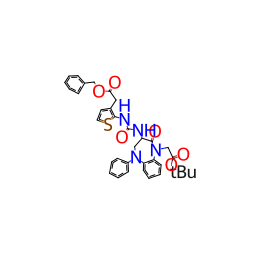 CC(C)(C)OC(=O)CN1C(=O)C(NC(=O)Nc2sccc2CC(=O)OCc2ccccc2)CN(c2ccccc2)c2ccccc21